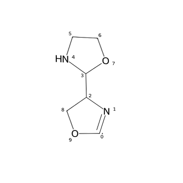 [C]1=NC(C2NCCO2)CO1